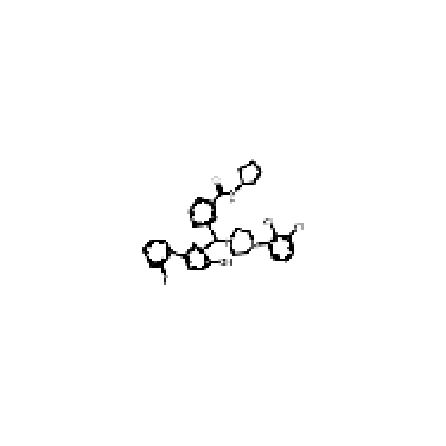 O=C(NC1CCCC1)c1cccc(C(c2cc(-c3ccccc3F)ccc2O)N2CCN(c3cccc(Cl)c3Cl)CC2)c1